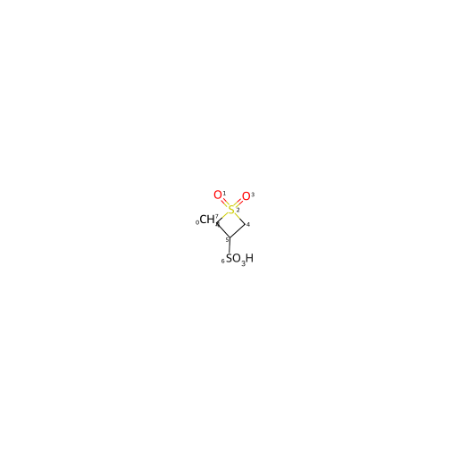 C.O=S1(=O)CC(S(=O)(=O)O)C1